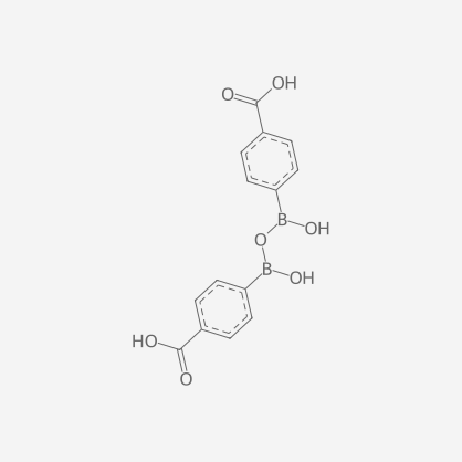 O=C(O)c1ccc(B(O)OB(O)c2ccc(C(=O)O)cc2)cc1